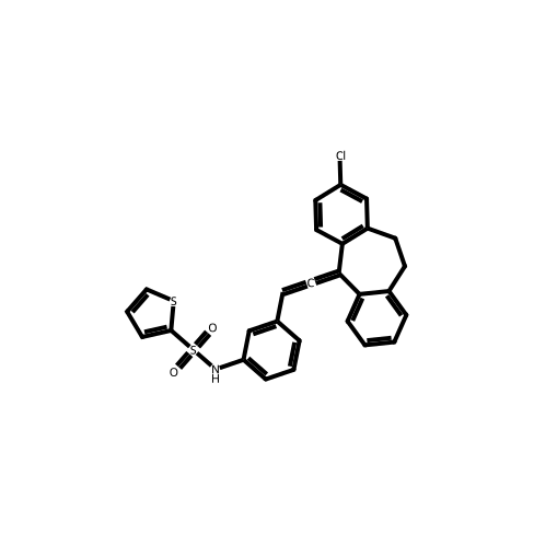 O=S(=O)(Nc1cccc(C=C=C2c3ccccc3CCc3cc(Cl)ccc32)c1)c1cccs1